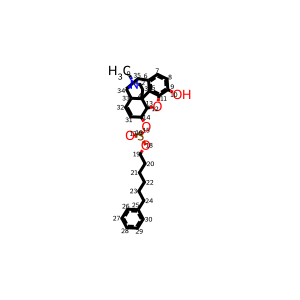 CN1CCC23c4c5ccc(O)c4OC2C(OS(=O)OCCCCCCc2ccccc2)C=CC3C1C5